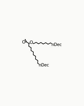 CCCCCCCCCCCCCCCCCCCC(OCCCCCCCCCCCCCCCCCC)C1CO1